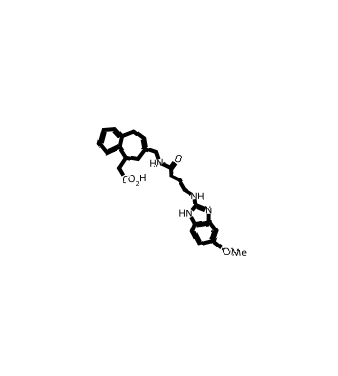 COc1ccc2[nH]c(NCCCC(=O)NCC3=CCc4ccccc4C(CC(=O)O)C3)nc2c1